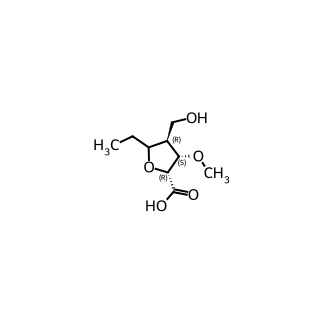 CCC1O[C@@H](C(=O)O)[C@@H](OC)[C@@H]1CO